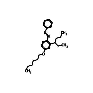 CCCCCCOc1ccc(N=Nc2ccccc2)c(C(CC)CCC)c1